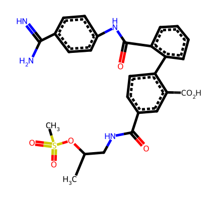 CC(CNC(=O)c1ccc(-c2ccccc2C(=O)Nc2ccc(C(=N)N)cc2)c(C(=O)O)c1)OS(C)(=O)=O